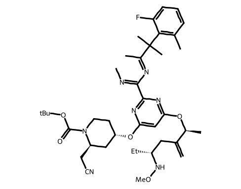 C=C(C[C@@H](CC)NOC)[C@H](C)Oc1cc(O[C@H]2CCN(C(=O)OC(C)(C)C)[C@H](CC#N)C2)nc(C(=N/C)/N=C(\C)C(C)(C)c2c(C)cccc2F)n1